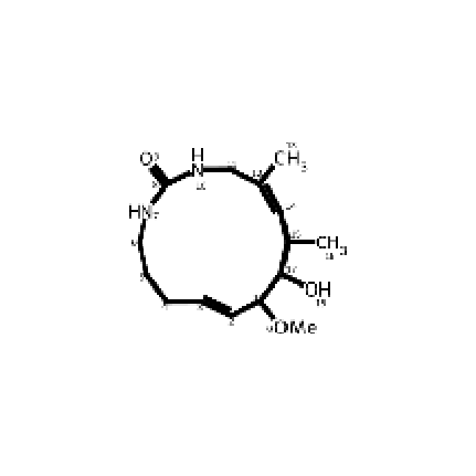 COC1/C=C/CCCNC(=O)NCC(C)=CC(C)C1O